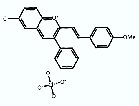 COc1ccc(C=Cc2[o+]c3ccc(Cl)cc3cc2-c2ccccc2)cc1.[O-][Cl+3]([O-])([O-])[O-]